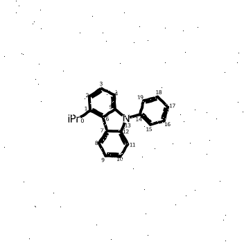 CC(C)c1cccc2c1c1ccccc1n2-c1ccccc1